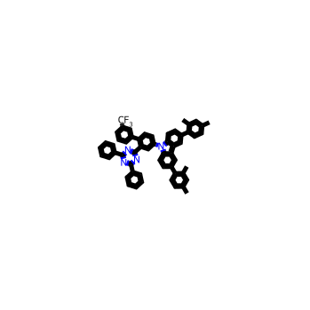 Cc1ccc(-c2ccc3c(c2)c2cc(-c4ccc(C)cc4C)ccc2n3-c2ccc(-c3cccc(C(F)(F)F)c3)c(-c3nc(-c4ccccc4)nc(-c4ccccc4)n3)c2)c(C)c1